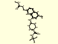 COC(=O)CCc1ccc2cc(Br)cc(OC3CCN(C(=O)OC(C)(C)C)CC3)c2n1